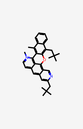 Cc1c2c(c(CC(C)(C)C)c3ccccc13)Oc1c3cnc(CC(C)(C)C)cc3cc3cc[n+](C)c-2c13